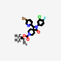 CC(C)(C)OC(=O)N1CCC2(CC1)C(=O)N(c1ccc(F)c(Cl)c1)C2c1ccc(Br)cn1